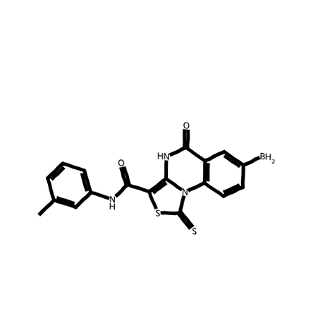 Bc1ccc2c(c1)c(=O)[nH]c1c(C(=O)Nc3cccc(C)c3)sc(=S)n12